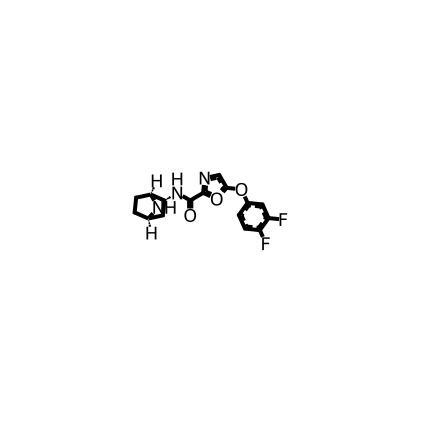 O=C(N[C@@H]1C[C@H]2CC[C@@H]1N2)c1ncc(Oc2ccc(F)c(F)c2)o1